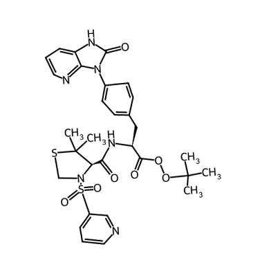 CC(C)(C)OOC(=O)[C@H](Cc1ccc(-n2c(=O)[nH]c3cccnc32)cc1)NC(=O)[C@H]1N(S(=O)(=O)c2cccnc2)CSC1(C)C